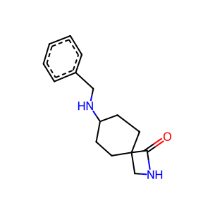 O=C1NCC12CCC(NCc1ccccc1)CC2